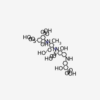 Cc1cc(/N=N/c2c(SOOO)cc3cc(Nc4ccc5c(O)cc(S(=O)(=O)O)cc5c4)ccc3c2O)c(OCCO)cc1/N=N/c1cc(S(=O)(=O)O)cc2cc(SOOO)cc(O)c12